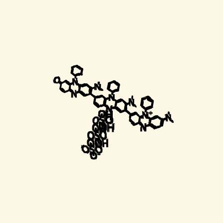 CN(C)c1ccc2nc3ccc(-c4cc5c(cc4N(C)C)N(c4ccccc4)c4cc(-c6cc7nc8ccc(=O)cc-8n(-c8ccccc8)c7cc6N(C)C)ccc4N5)cc3[n+](-c3ccccc3)c2c1.O=S(=O)(O)O.O=S(=O)(O)O.O=S(=O)([O-])O